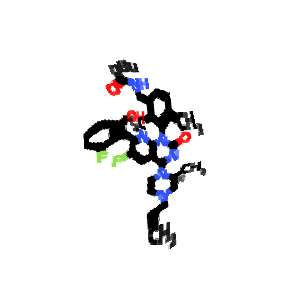 C=CCN1CCN(c2nc(=O)n(-c3c(C)ccc(CNC(=O)CCCC)c3C)c3nc(-c4c(O)cccc4F)c(F)cc23)[C@@H](C)C1